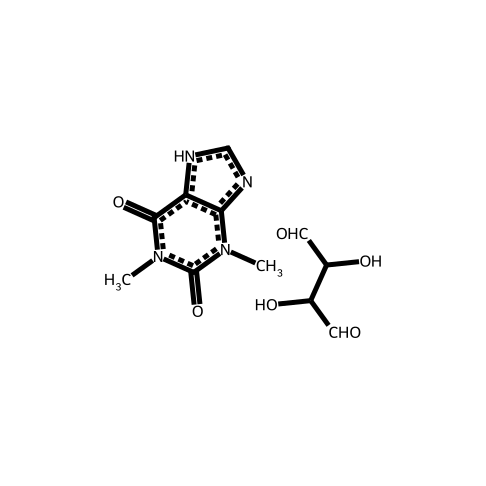 Cn1c(=O)c2[nH]cnc2n(C)c1=O.O=CC(O)C(O)C=O